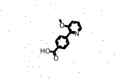 COc1cccnc1-c1ccc(C(=O)O)cc1